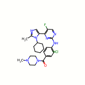 Cc1ncc(-c2nc(Nc3ccc(C(=O)N4CCN(C)CC4)cc3)ncc2F)n1C1CCCCC1.Cl